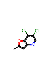 Cc1cc2ncc(Cl)c(Cl)c2o1